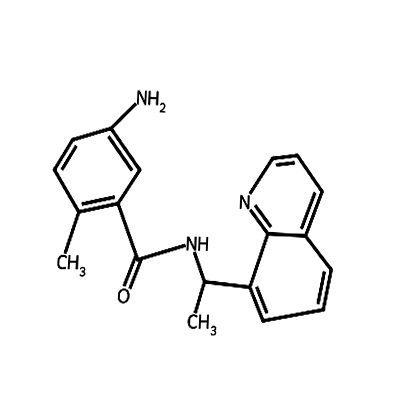 Cc1ccc(N)cc1C(=O)NC(C)c1cccc2cccnc12